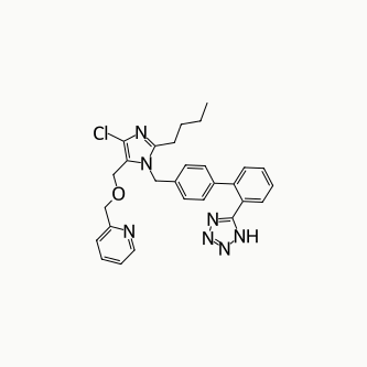 CCCCc1nc(Cl)c(COCc2ccccn2)n1Cc1ccc(-c2ccccc2-c2nnn[nH]2)cc1